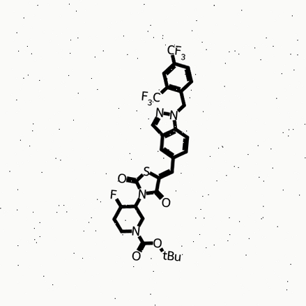 CC(C)(C)OC(=O)N1CCC(F)C(N2C(=O)SC(=Cc3ccc4c(cnn4Cc4ccc(C(F)(F)F)cc4C(F)(F)F)c3)C2=O)C1